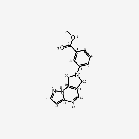 COC(=O)c1cccc(N2Cc3cnc4ccnn4c3C2)c1